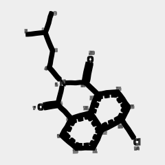 CC(C)CCN1C(=O)c2cccc3c(Cl)ccc(c23)C1=O